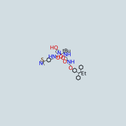 CC/C(=C(\c1ccccc1)c1ccc(OCCNC(=O)CC(=O)N[C@H](C(=O)N2C[C@H](O)C[C@H]2C(=O)NCc2ccc(-c3scnc3C)cc2)C(C)(C)C)cc1)c1ccccc1